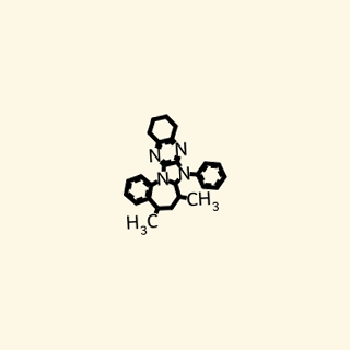 CC1CC(C)C2N(c3ccccc3)c3nc4c(nc3N2c2ccccc21)CCCC4